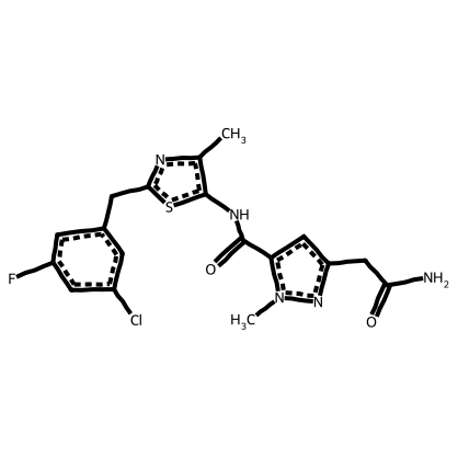 Cc1nc(Cc2cc(F)cc(Cl)c2)sc1NC(=O)c1cc(CC(N)=O)nn1C